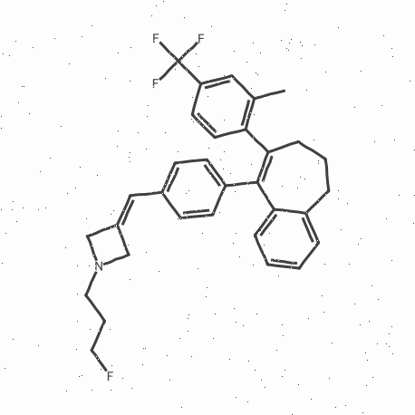 Cc1cc(C(F)(F)F)ccc1C1=C(c2ccc(C=C3CN(CCCF)C3)cc2)c2ccccc2CCC1